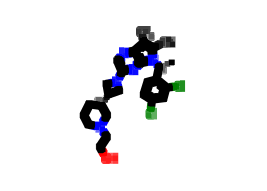 C[C@H](c1ccc(Cl)cc1Cl)n1c(C#N)c(C(F)(F)F)c2ncc(N3CC([C@H]4CCCN(CCO)C4)C3)nc21